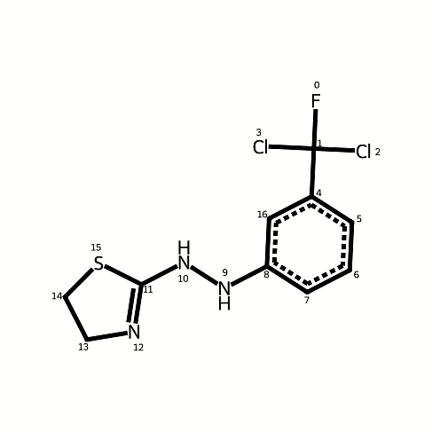 FC(Cl)(Cl)c1cccc(NNC2=NCCS2)c1